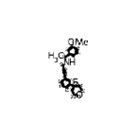 COc1cccc(C(C)NCC#Cc2cccc(C3(F)CCOCC3)c2)c1